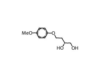 COc1ccc(OCC[C@H](O)CO)cc1